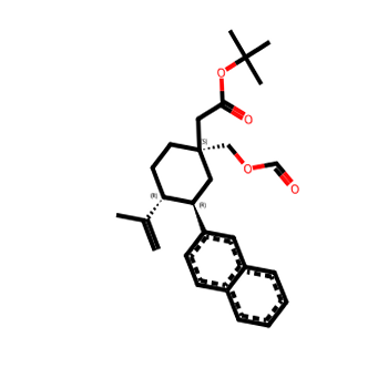 C=C(C)[C@@H]1CC[C@@](COC=O)(CC(=O)OC(C)(C)C)C[C@H]1c1ccc2ccccc2c1